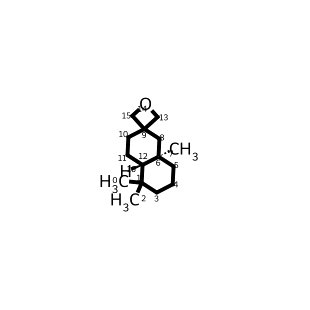 CC1(C)CCC[C@]2(C)CC3(CC[C@@H]12)COC3